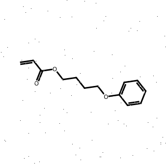 C=CC(=O)OCCCCOc1ccccc1